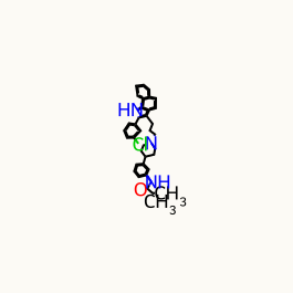 CC(C)C(=O)Nc1cccc(C2CCN(CCCc3c(-c4cccc(Cl)c4)[nH]c4c3ccc3ccccc34)CC2)c1